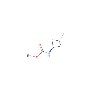 CC(C)OC(=O)N[C@H]1C[C@H](C)C1